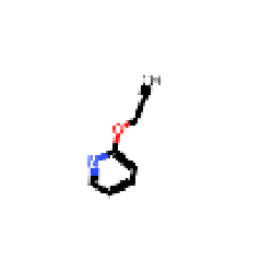 C#CCOc1cc[c]cn1